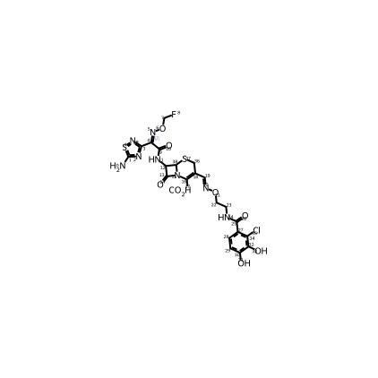 Nc1nc(/C(=N/OCF)C(=O)NC2C(=O)N3C(C(=O)O)=C(C=NOCCNC(=O)c4ccc(O)c(O)c4Cl)CSC23)ns1